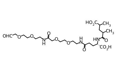 CC(CC(C)C(=O)N[C@@H](CCC(=O)NCCOCCOCC(=O)NCCOCCOCC=O)C(=O)O)C(=O)O